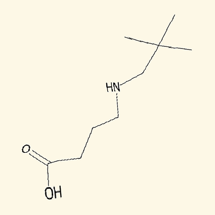 CC(C)(C)CNCCCC(=O)O